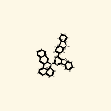 c1ccc2cc3c(cc2c1)-c1cccc2cccc(c12)N3c1nc(-c2ccc3c(c2)sc2ccccc23)c2oc3ccccc3c2n1